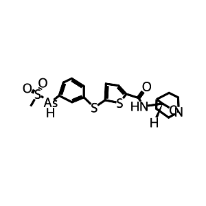 CS(=O)(=O)[AsH]c1cccc(Sc2ccc(C(=O)N[C@H]3CN4CCC3CC4)s2)c1